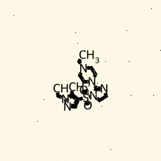 CCN1CCN(C2=NCCN2S(=O)(=O)c2cnn(CC)c2C)CC1